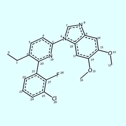 CCc1ccc(-n2cnc3cc(OC)c(OC)cc32)nc1-c1cccc(Cl)c1F